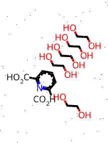 O=C(O)c1cccc(C(=O)O)n1.OCCO.OCCO.OCCO.OCCO.OCCO